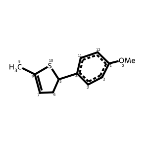 COc1ccc(C2CC=C(C)S2)cc1